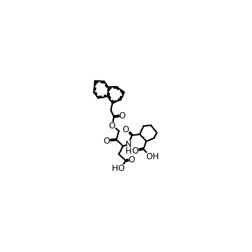 O=C(O)CC(NC(=O)C1CCCCC1C(=O)O)C(=O)COC(=O)Cc1cccc2ccccc12